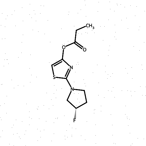 CCC(=O)Oc1csc(N2CC[C@H](F)C2)n1